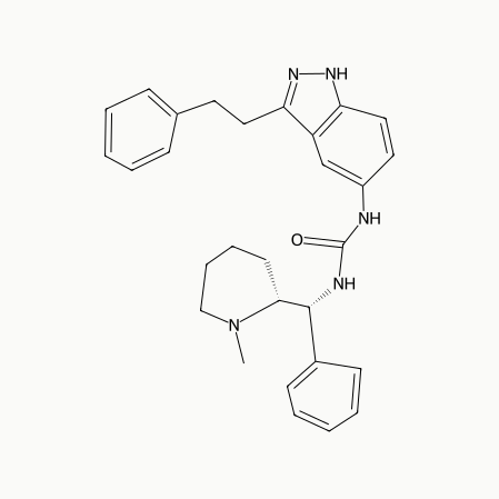 CN1CCCC[C@@H]1[C@H](NC(=O)Nc1ccc2[nH]nc(CCc3ccccc3)c2c1)c1ccccc1